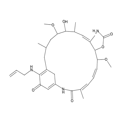 C=CCNC1=C2CC(=CC1=O)NC(=O)C(C)=CC=CC(OC)C(OC(N)=O)C(C)=CC(C)C(O)C(OC)CC(C)C2